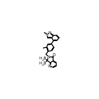 BC1(B)c2ncccc2C(=O)N1Cc1ccc(-c2cccc3nn(C)cc23)cc1C